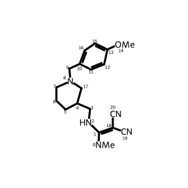 CNC(NCC1CCCN(Cc2ccc(OC)cc2)C1)=C(C#N)C#N